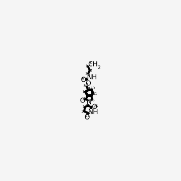 C=CCCNC(=O)OCc1ccc2c(c1)C(=O)N(C1CCC(=O)NC1=O)C2